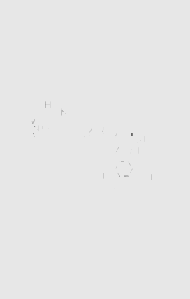 CCc1cc(OC(F)(F)F)cc2c1OC(C)(C(F)(F)F)C(C(=O)OOC(=O)OCCN(C)CCO[N+](=O)[O-])=C2